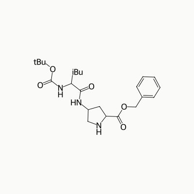 CCC(C)C(NC(=O)OC(C)(C)C)C(=O)NC1CNC(C(=O)OCc2ccccc2)C1